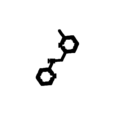 Cc1cccc(CNc2ccccn2)n1